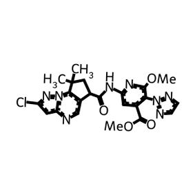 COC(=O)c1cc(NC(=O)C2CC(C)(C)c3c2cnc2cc(Cl)nn32)nc(OC)c1-n1nccn1